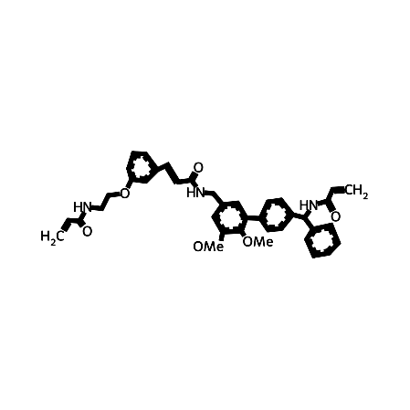 C=CC(=O)NCCOc1cccc(/C=C/C(=O)NCc2cc(OC)c(OC)c(-c3ccc(C(NC(=O)C=C)c4ccccc4)cc3)c2)c1